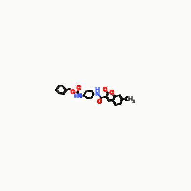 Cc1ccc2cc(C(=O)N[C@H]3CC[C@H](NC(=O)OCc4ccccc4)CC3)c(=O)oc2c1